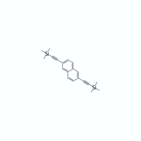 C[Si](C)(C)C#Cc1ccc2cc(C#C[Si](C)(C)C)ccc2c1